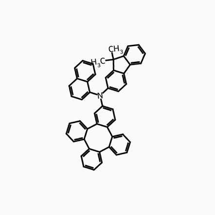 CC1(C)c2ccccc2-c2ccc(N(c3ccc4c(c3)-c3ccccc3-c3ccccc3-c3ccccc3-4)c3cccc4ccccc34)cc21